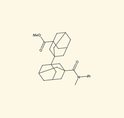 COC(=O)C12CC3CC(C1)CC(C14CC5CC(CC(C(=O)N(C)C(C)C)(C5)C1)C4)(C3)C2